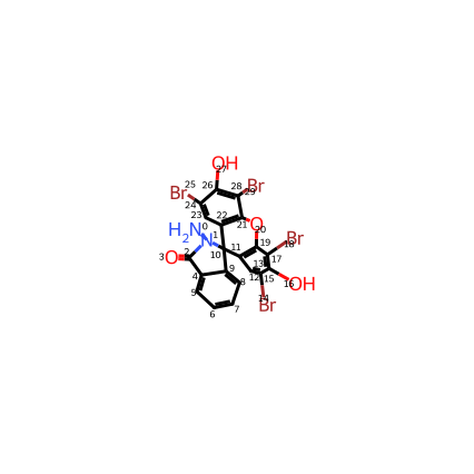 NN1C(=O)c2ccccc2C12c1cc(Br)c(O)c(Br)c1Oc1c2cc(Br)c(O)c1Br